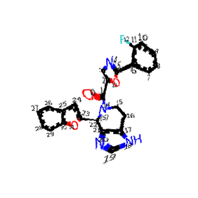 O=C(c1cnc(-c2ccccc2F)o1)N1CCc2[nH]cnc2[C@H]1c1cc2ccccc2o1